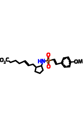 COc1ccc(C=CS(=O)(=O)NC2CCCC2CC=CCCCC(=O)O)cc1